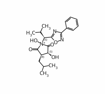 CC(C)C[C@H]1C(=O)[N+](O)([C@H](c2nc(-c3ccccc3)no2)C(C)C)C(=O)[C@H]1O